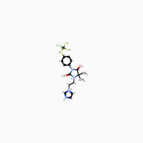 CC1(C)C(=O)N(c2ccc(SC(F)(F)F)cc2)C(=O)N1CCn1ccnc1